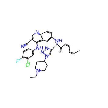 C=C(/C=C\C=C/C)[C@H](Nc1ccc2ncc(C#N)c(Nc3ccc(F)c(Cl)c3)c2c1)c1cn(C2CCN(CC)CC2)nn1